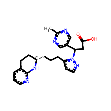 Cc1ncc(C(CC(=O)O)n2nccc2CCC[C@H]2CCc3cccnc3N2)cn1